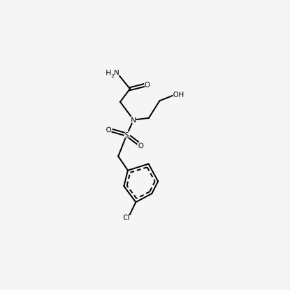 NC(=O)CN(CCO)S(=O)(=O)Cc1cccc(Cl)c1